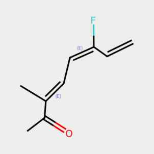 C=C/C(F)=C\C=C(/C)C(C)=O